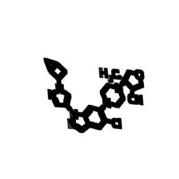 C[C@]1(N2CCN(c3cc4c(cnn4-c4cnn(C5CC6CC65)c4)cc3Cl)CC2)COC[C@H]1C#N